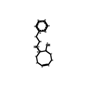 OC1CCC=CCC[C@H]1NCCc1ccccc1